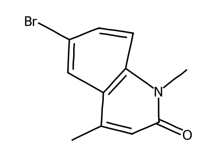 Cc1cc(=O)n(C)c2ccc(Br)cc12